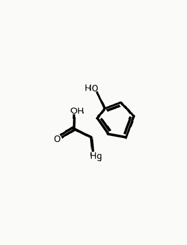 O=C(O)[CH2][Hg].Oc1ccccc1